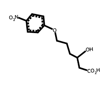 O=C(O)CC(O)CCCOc1ccc([N+](=O)[O-])cc1